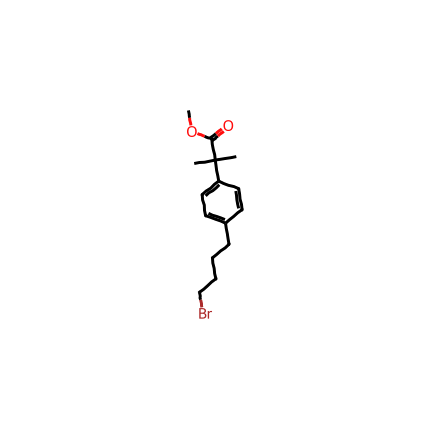 COC(=O)C(C)(C)c1ccc(CCCCBr)cc1